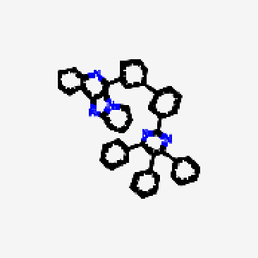 c1ccc(-c2nc(-c3cccc(-c4cccc(-c5nc6ccccc6c6nc7ccccn7c56)c4)c3)nc(-c3ccccc3)c2-c2ccccc2)cc1